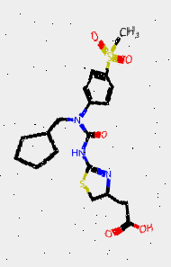 CS(=O)(=O)c1ccc(N(CC2CCCC2)C(=O)NC2=NC(CC(=O)O)CS2)cc1